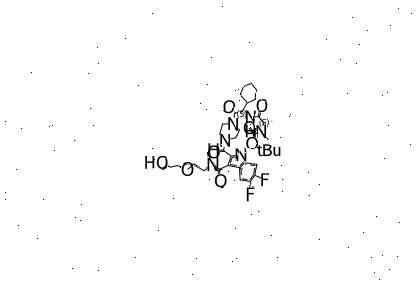 C[C@@H](C(=O)N[C@H](C(=O)N1CCN(C(=O)c2c(C(=O)NCCOCCO)c3cc(F)c(F)cc3n2C)CC1)C1CCCCC1)N(C)C(=O)OC(C)(C)C